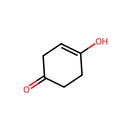 O=C1CC=C(O)CC1